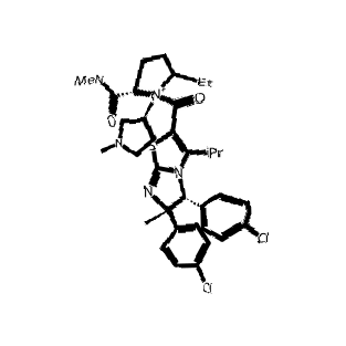 CCC1CC[C@@H](C(=O)NC)[N+]1(C(=O)C1=C(C(C)C)N2C(=N[C@@](C)(c3ccc(Cl)cc3)[C@H]2c2ccc(Cl)cc2)S1)[C@H]1CCN(C)C1